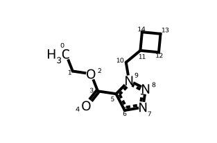 CCOC(=O)c1cnnn1CC1CCC1